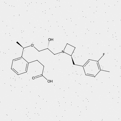 Cc1ccc(C[C@@H]2CCN2C[C@@H](O)CO[C@H](C)c2ccccc2CCC(=O)O)cc1F